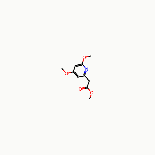 COC(=O)Cc1cc(OC)cc(OC)n1